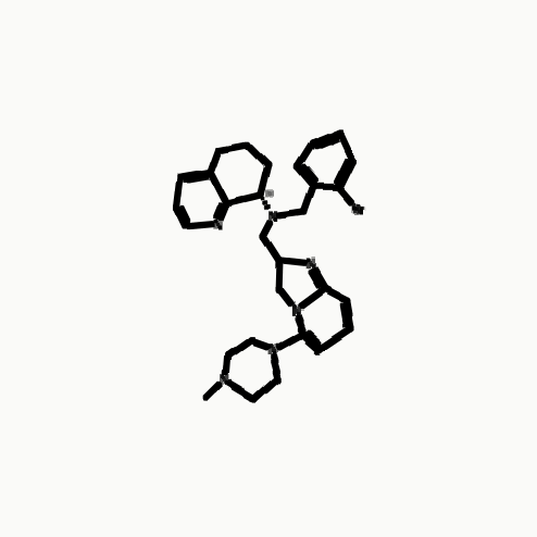 CN1CCN(C2=CC=CC3=NC(CN(Cc4ccccc4Br)[C@H]4CCCc5cccnc54)CN23)CC1